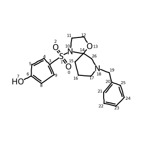 O=S(=O)(c1ccc(O)cc1)N1CCOC12CCCN(Cc1ccccc1)C2